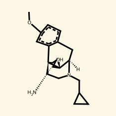 COc1ccc2c(c1)[C@]13CCN(CC4CC4)[C@H](C2)[C@]1(O)C[C@@H](N)C3